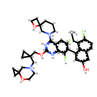 CCc1c(F)ccc2cc(O)cc(-c3c(F)cc4c(N5CCCC6(CCO6)C5)nc(OCC5(CN6CCOC7(CC7)C6)CC5)nc4c3F)c12